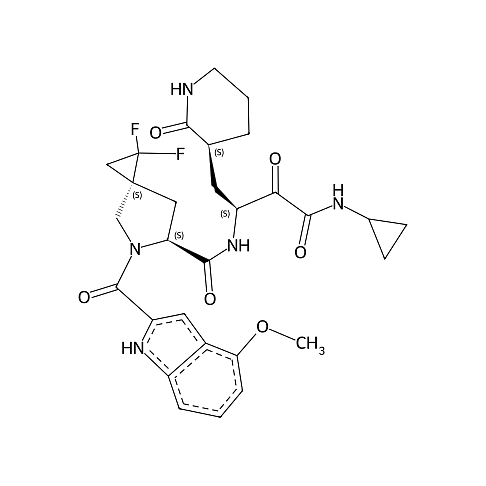 COc1cccc2[nH]c(C(=O)N3C[C@]4(C[C@H]3C(=O)N[C@@H](C[C@@H]3CCCNC3=O)C(=O)C(=O)NC3CC3)CC4(F)F)cc12